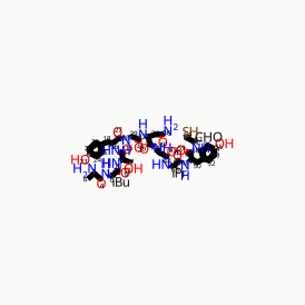 CCC(C)C(NC(=O)C(C)N)C(=O)NC(CO)C(=O)NC(Cc1ccc(O)cc1)C(=O)NCC(=O)NC(CC(N)=O)C(=O)NCC(=O)NC(C(=O)NC(Cc1ccc(O)cc1)C(=O)NC(C=O)CS)C(C)C